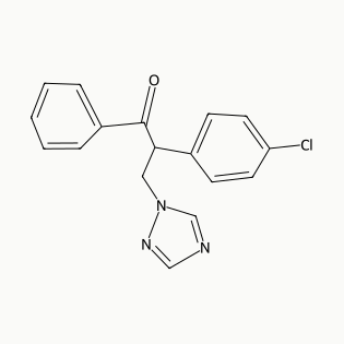 O=C(c1ccccc1)C(Cn1cncn1)c1ccc(Cl)cc1